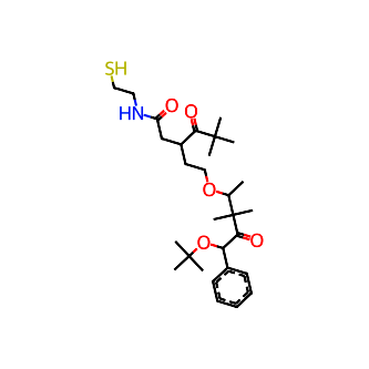 CC(OCCC(CC(=O)NCCS)C(=O)C(C)(C)C)C(C)(C)C(=O)C(OC(C)(C)C)c1ccccc1